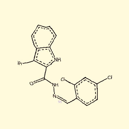 CC(C)c1c(C(=O)N/N=C\c2ccc(Cl)cc2Cl)[nH]c2ccccc12